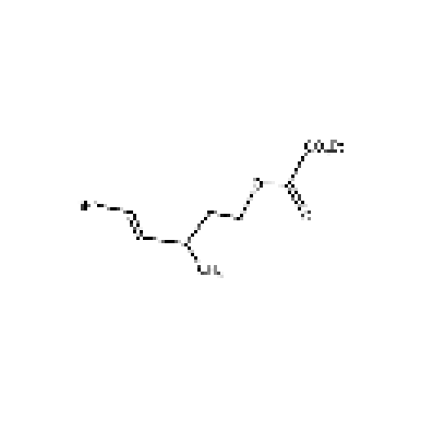 CCCC=CC(C)CCOC(=O)C(=O)OCC